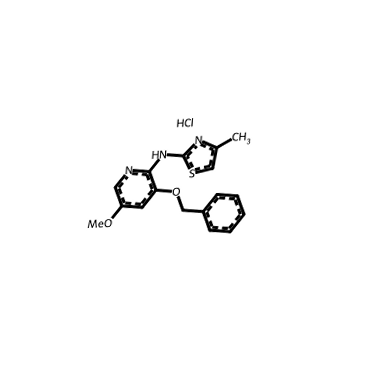 COc1cnc(Nc2nc(C)cs2)c(OCc2ccccc2)c1.Cl